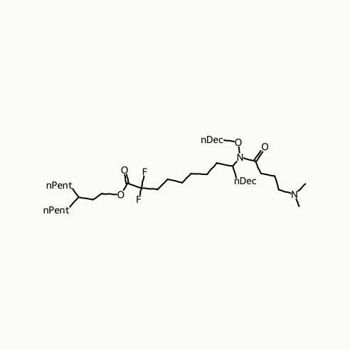 CCCCCCCCCCON(C(=O)CCCN(C)C)C(CCCCCCCCCC)CCCCCCC(F)(F)C(=O)OCCC(CCCCC)CCCCC